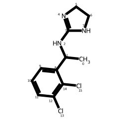 CC(NC1=NCCN1)c1cccc(Cl)c1Cl